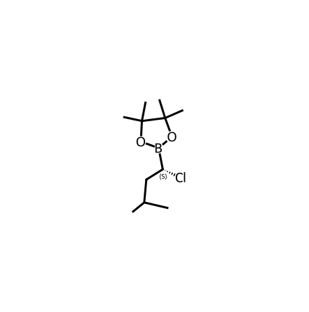 CC(C)C[C@@H](Cl)B1OC(C)(C)C(C)(C)O1